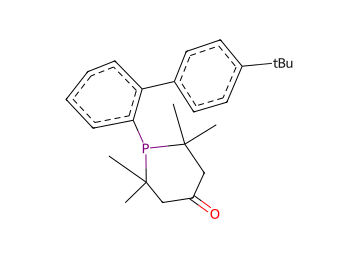 CC(C)(C)c1ccc(-c2ccccc2P2C(C)(C)CC(=O)CC2(C)C)cc1